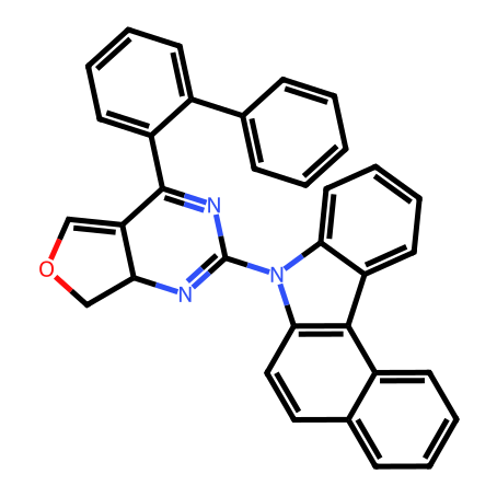 C1=C2C(c3ccccc3-c3ccccc3)=NC(n3c4ccccc4c4c5ccccc5ccc43)=NC2CO1